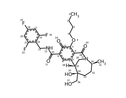 CCCCOc1c2n(cc(C(=O)NCc3c(F)cc(F)cc3F)c1=O)[C@@H]1CN(C2=O)[C@@H](C)CC[C@]1(O)CO